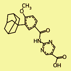 COc1ccc(C(=O)Nc2ncc(C(=O)O)cn2)cc1C12CC3CC(CC(C3)C1)C2